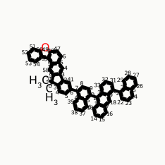 CC1(C)c2ccc(-c3ccc(-c4c5ccccc5cc5c(-c6cccc7ccccc67)cccc45)c4ccccc34)cc2-c2cc3ccc4oc5ccccc5c4c3cc21